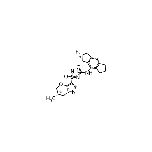 C[C@@H]1COc2c(S(N)(=O)=NC(=O)Nc3c4c(cc5c3C[C@H](F)C5)CCC4)cnn2C1